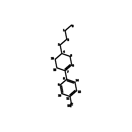 CCCCC1CC=C(c2ccc(F)cc2)CC1